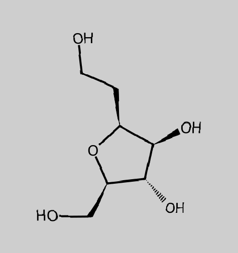 OCC[C@@H]1O[C@H](CO)[C@@H](O)[C@@H]1O